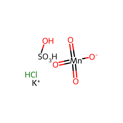 Cl.O=S(=O)(O)O.[K+].[O]=[Mn](=[O])(=[O])[O-]